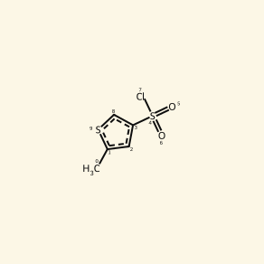 Cc1cc(S(=O)(=O)Cl)cs1